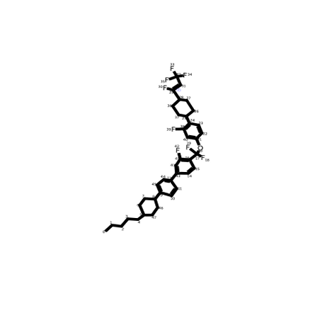 CCCCCC1CCC(c2ccc(-c3ccc(C(F)(F)Oc4ccc(C5CCC(/C(F)=C/C(F)(F)F)CC5)c(F)c4)c(F)c3)cc2)CC1